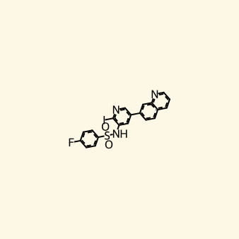 O=S(=O)(Nc1cc(-c2ccc3cccnc3c2)cnc1I)c1ccc(F)cc1